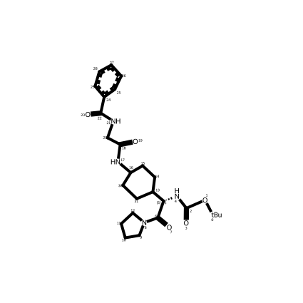 CC(C)(C)OC(=O)N[C@H](C(=O)N1CCCC1)C1CCC(NC(=O)CNC(=O)c2ccccc2)CC1